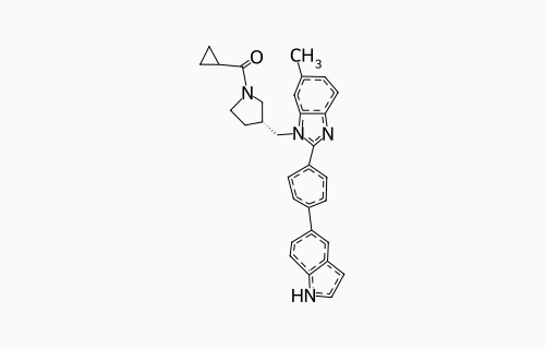 Cc1ccc2nc(-c3ccc(-c4ccc5[nH]ccc5c4)cc3)n(C[C@@H]3CCN(C(=O)C4CC4)C3)c2c1